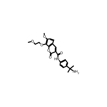 COCCOc1c(OC)ccc2cc(C(=O)Nc3ccc(C(C)(C)N)cc3)c(=O)oc12